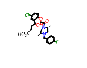 C[C@@H]1CN(Cc2ccc(F)cc2)[C@@H](C)CN1C(=O)COc1ccc(Cl)cc1C(O)CCC(=O)O